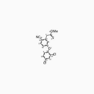 COC(=S)Cc1cc(Oc2ccc(Cl)cc2Cl)ccc1C#N